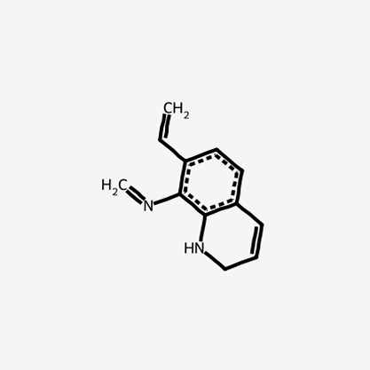 C=Cc1ccc2c(c1N=C)NCC=C2